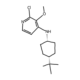 COc1c(N[C@H]2CC[C@@H](C(C)(C)C)CC2)ccnc1Cl